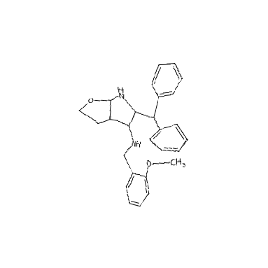 COc1ccccc1CNC1C2CCOC2NC1C(c1ccccc1)c1ccccc1